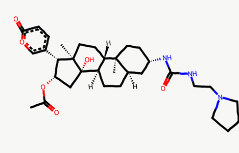 CC(=O)O[C@H]1C[C@]2(O)[C@@H]3CC[C@@H]4C[C@@H](NC(=O)NCCN5CCCC5)CC[C@]4(C)[C@H]3CC[C@]2(C)[C@H]1c1ccc(=O)oc1